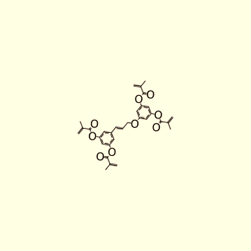 C=C(C)C(=O)Oc1cc(/C=C/COc2cc(OC(=O)C(=C)C)cc(OC(=O)C(=C)C)c2)cc(OC(=O)C(=C)C)c1